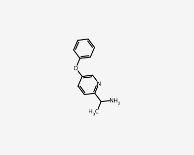 CC(N)c1ccc(Oc2ccccc2)cn1